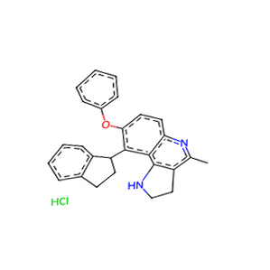 Cc1nc2ccc(Oc3ccccc3)c(C3CCc4ccccc43)c2c2c1CCN2.Cl